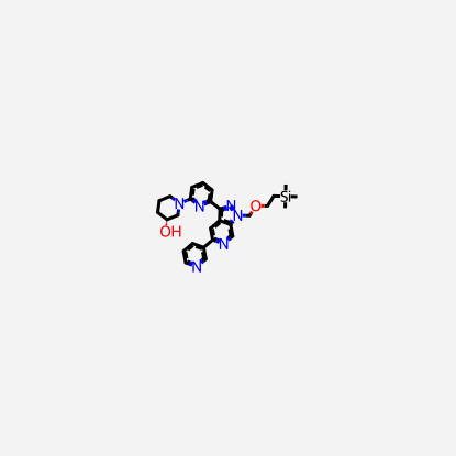 C[Si](C)(C)CCOCn1nc(-c2cccc(N3CCC[C@@H](O)C3)n2)c2cc(-c3cccnc3)ncc21